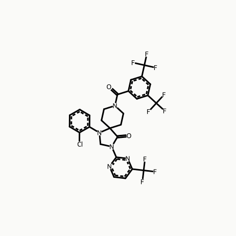 O=C(c1cc(C(F)(F)F)cc(C(F)(F)F)c1)N1CCC2(CC1)C(=O)N(c1nccc(C(F)(F)F)n1)CN2c1ccccc1Cl